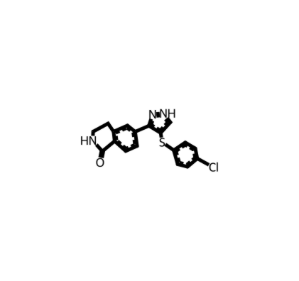 O=C1NCCc2cc(-c3n[nH]cc3Sc3ccc(Cl)cc3)ccc21